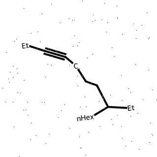 [CH2]CC#CCCCC(CC)CCCCC[CH2]